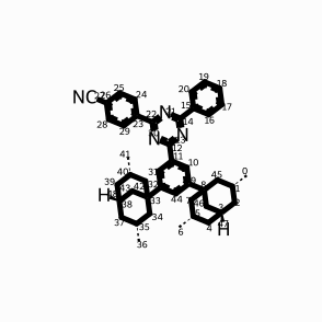 C[C@@H]1C[C@@H]2C[C@H](C)CC(c3cc(-c4nc(-c5ccccc5)nc(-c5ccc(C#N)cc5)n4)cc(C45C[C@H](C)C[C@H](C[C@H](C)C4)C5)c3)(C1)C2